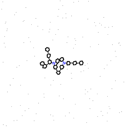 c1ccc(-c2ccc(-c3ccc(N(c4ccccc4)c4ccc(-c5ccccc5-c5ccc6c(c5)c5ccccc5n6-c5cc(-c6ccc(-c7ccccc7)cc6)cc(-c6cccc7ccccc67)c5)cc4)cc3)cc2)cc1